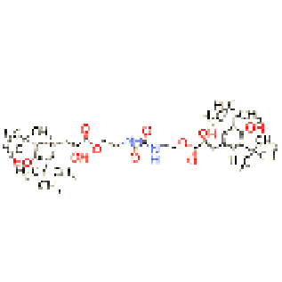 CC(C)(C)c1cc(C=C(O)C(=O)OCCNC(=O)C(=O)NCCOC(=O)C(O)=Cc2cc(C(C)(C)C)c(O)c(C(C)(C)C)c2)cc(C(C)(C)C)c1O